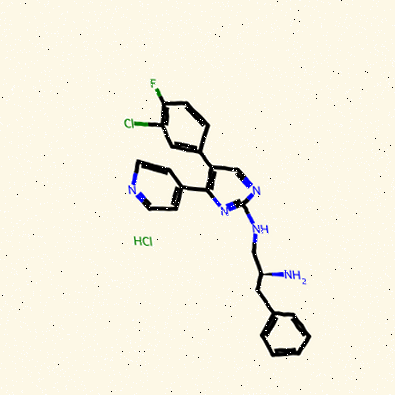 Cl.N[C@H](CNc1ncc(-c2ccc(F)c(Cl)c2)c(-c2ccncc2)n1)Cc1ccccc1